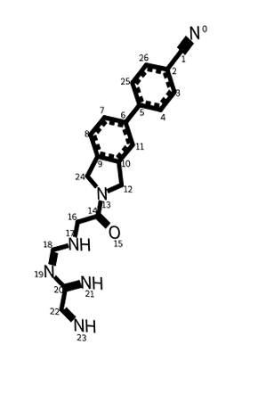 N#Cc1ccc(-c2ccc3c(c2)CN(C(=O)CN/C=N\C(=N)C=N)C3)cc1